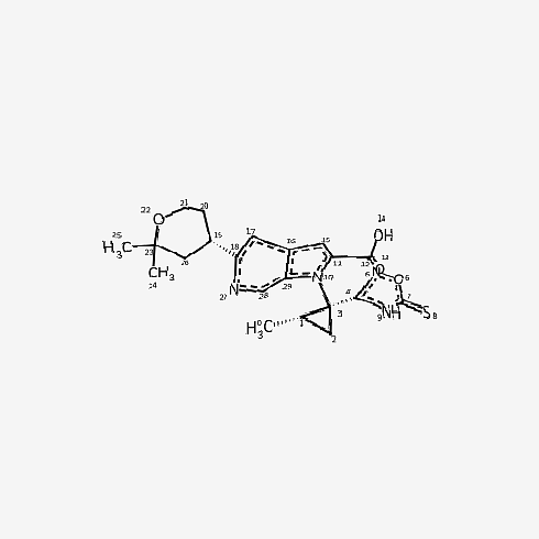 C[C@H]1C[C@]1(c1noc(=S)[nH]1)n1c(C(=O)O)cc2cc([C@H]3CCOC(C)(C)C3)ncc21